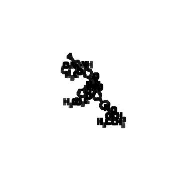 COc1ccc(CN(c2noc3cc(Nc4cc(C5CC5)n(C5CCCCO5)n4)c(OC)cc23)S(=O)(=O)c2c(OC)cc(C3CCN(C(=O)OC(C)(C)C)CC3)cc2OC)cc1